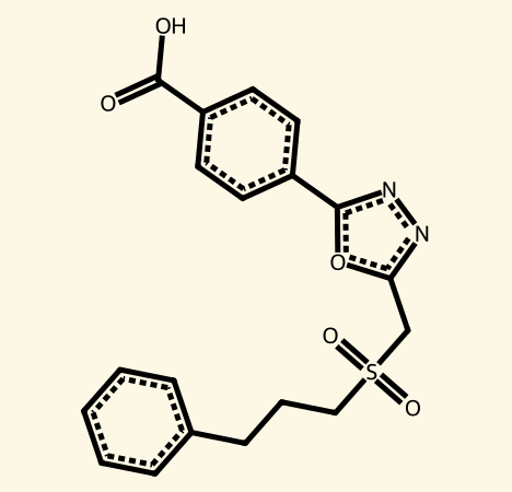 O=C(O)c1ccc(-c2nnc(CS(=O)(=O)CCCc3ccccc3)o2)cc1